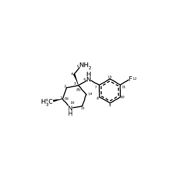 C[C@H]1C[C@](CN)(Nc2cccc(F)c2)CCN1